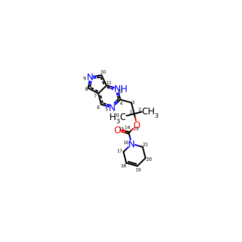 CC(C)(Cc1ncc2cncc-2[nH]1)OC(=O)N1CC=CCC1